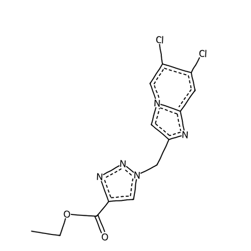 CCOC(=O)c1cn(Cc2cn3cc(Cl)c(Cl)cc3n2)nn1